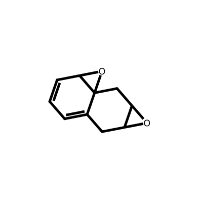 C1=CC2OC23CC2OC2CC3=C1